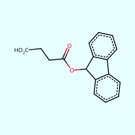 O=C(O)CCC(=O)OC1c2ccccc2-c2ccccc21